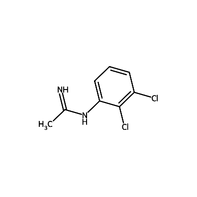 CC(=N)Nc1cccc(Cl)c1Cl